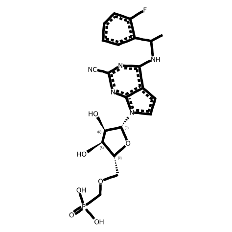 CC(Nc1nc(C#N)nc2c1ccn2[C@@H]1O[C@H](COCP(=O)(O)O)[C@@H](O)[C@H]1O)c1ccccc1F